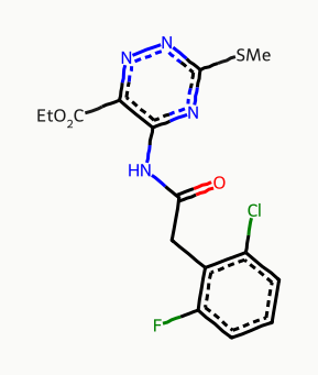 CCOC(=O)c1nnc(SC)nc1NC(=O)Cc1c(F)cccc1Cl